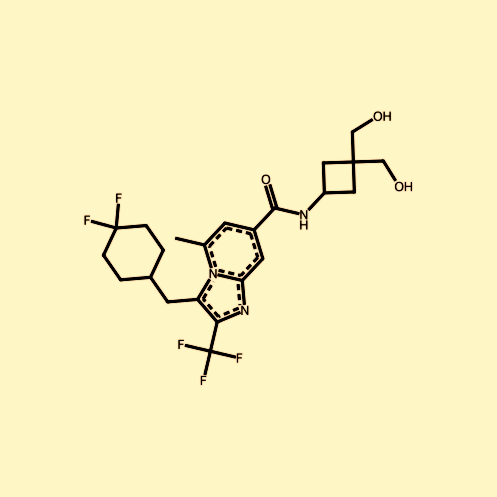 Cc1cc(C(=O)NC2CC(CO)(CO)C2)cc2nc(C(F)(F)F)c(CC3CCC(F)(F)CC3)n12